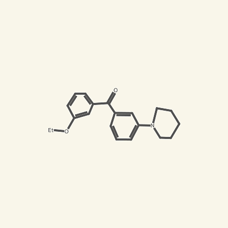 CCOc1cccc(C(=O)c2cccc(N3CCCCC3)c2)c1